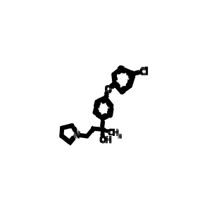 CC(O)(CCN1CCCC1)c1ccc(Oc2ccc(Cl)cc2)cc1